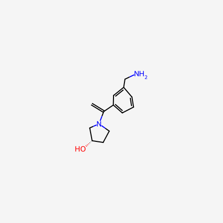 C=C(c1cccc(CN)c1)N1CC[C@H](O)C1